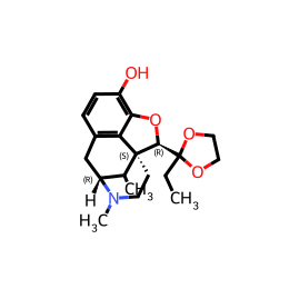 CCC1([C@@H]2Oc3c(O)ccc4c3[C@@]23CCN(C)[C@H](C4)C3C)OCCO1